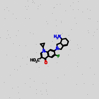 NC1CCC=C2CN(c3cc4c(cc3F)c(=O)c(C(=O)O)cn4C3CC3)CC21